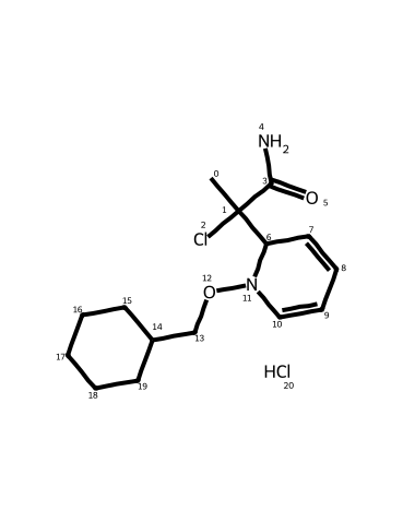 CC(Cl)(C(N)=O)C1C=CC=CN1OCC1CCCCC1.Cl